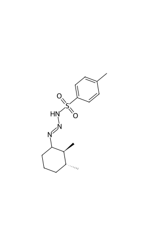 Cc1ccc(S(=O)(=O)NN=NC2CCC[C@@H](C)[C@@H]2C)cc1